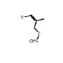 CCC=C(C)CO[C]=O